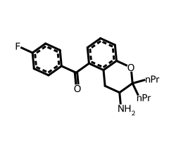 CCCC1(CCC)Oc2cccc(C(=O)c3ccc(F)cc3)c2CC1N